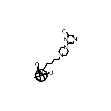 O=C1C2C3C=CC(CCCC3)C2C(=O)N1CCCCN1CCN(c2cncc(Cl)n2)CC1